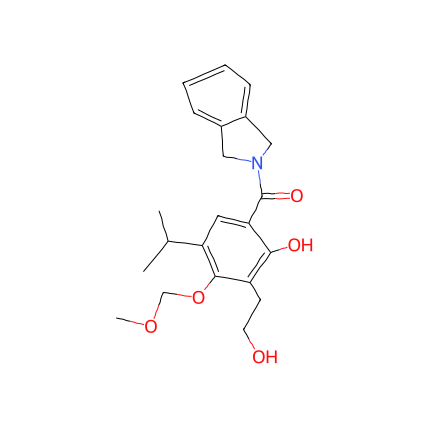 COCOc1c(C(C)C)cc(C(=O)N2Cc3ccccc3C2)c(O)c1CCO